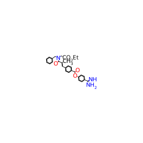 CCOC(=O)CN(Cc1ccccc1)C(=O)/C(C)=C/c1ccc(C(=O)Oc2ccc(C(=N)N)cc2)cc1